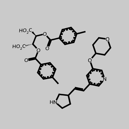 C(=C\C1CCNC1)/c1cncc(OC2CCOCC2)c1.Cc1ccc(C(=O)O[C@H](C(=O)O)[C@H](OC(=O)c2ccc(C)cc2)C(=O)O)cc1